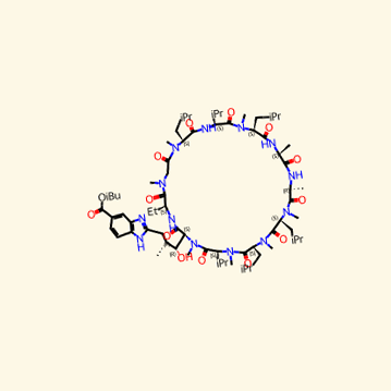 CC[C@@H]1NC(=O)[C@H]([C@H](O)[C@H](C)Cc2nc3cc(C(=O)OCC(C)C)ccc3[nH]2)N(C)C(=O)[C@H](C(C)C)N(C)C(=O)[C@H](CC(C)C)N(C)C(=O)[C@H](CC(C)C)N(C)C(=O)[C@@H](C)NC(=O)[C@H](C)NC(=O)[C@H](CC(C)C)N(C)C(=O)[C@H](C(C)C)NC(=O)[C@H](CC(C)C)N(C)C(=O)CN(C)C1=O